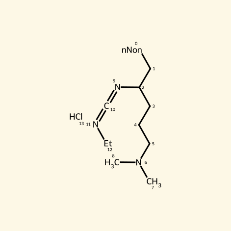 CCCCCCCCCCC(CCCN(C)C)N=C=NCC.Cl